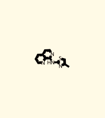 Cc1csc(Nc2nccc3cccnc23)n1